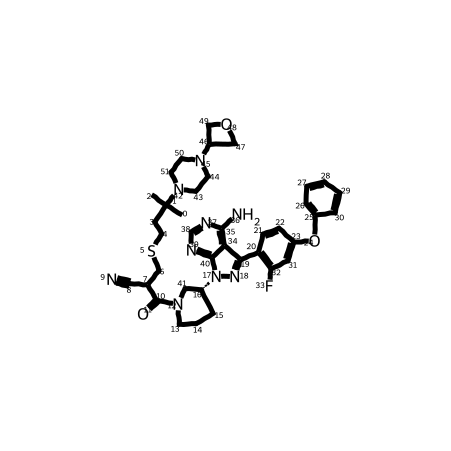 CC(C)(CCSCC(C#N)C(=O)N1CCC[C@@H](n2nc(-c3ccc(Oc4ccccc4)cc3F)c3c(N)ncnc32)C1)N1CCN(C2COC2)CC1